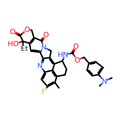 CCC1(O)C(=O)OCc2c1cc1n(c2=O)Cc2c-1nc1cc(F)c(C)c3c1c2C(NC(=O)OCc1ccc(N(C)C)cc1)CC3